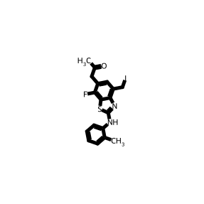 CC(=O)Cc1cc(CI)c2nc(Nc3ccccc3C)sc2c1F